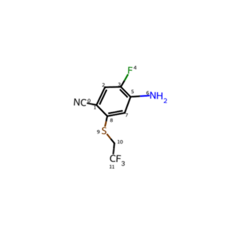 N#Cc1cc(F)c(N)cc1SCC(F)(F)F